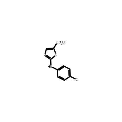 CCOC(=O)c1cnc(Nc2ccc(Cl)cc2)s1